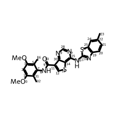 COc1cc(OC)c(I)c(NC(=O)c2csc3c(Nc4nc5ccc(C)cc5s4)ncnc23)c1C